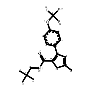 CC1=CC(c2ccc(OC(F)(F)F)cc2)=C(C(=O)NCC(C)(C)C)C1